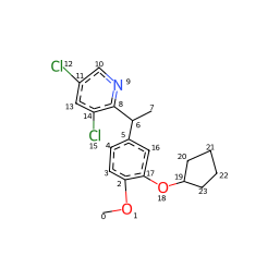 COc1ccc(C(C)c2ncc(Cl)cc2Cl)cc1OC1CCCC1